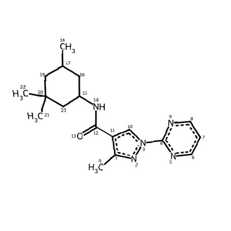 Cc1nn(-c2ncccn2)cc1C(=O)NC1CC(C)CC(C)(C)C1